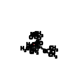 Cc1cc(OCCCc2c3n(c4c(-c5c(C)nn(C)c5C)c(Cl)ccc24)[C@H](C)CN(c2cccc4c2cc(C(N)=O)n4C)C3=O)cc(C)c1Cl